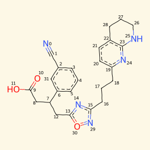 N#Cc1cccc(C(CC(=O)O)Cc2nc(CCCc3ccc4c(n3)NCCC4)no2)c1